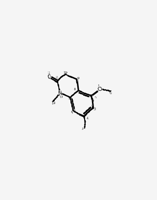 COc1cc(C)cc2c1CCC(=O)N2C